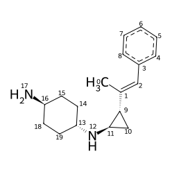 C/C(=C\c1ccccc1)[C@@H]1C[C@H]1N[C@H]1CC[C@H](N)CC1